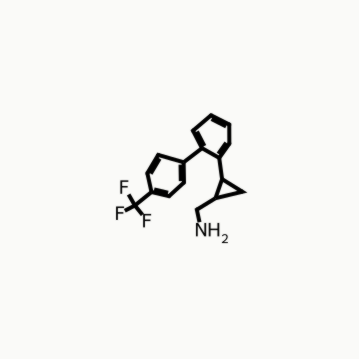 NCC1CC1c1ccccc1-c1ccc(C(F)(F)F)cc1